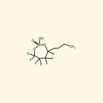 CCCCC1(F)OP(=O)(O)OC(F)(F)C(F)(F)C1(F)F